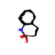 O=S1(=O)C=Cc2ccccc2N1